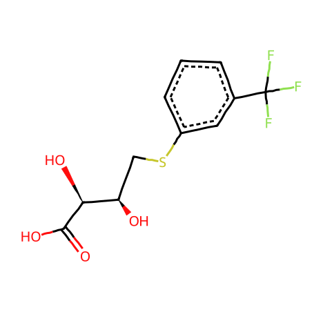 O=C(O)[C@@H](O)[C@H](O)CSc1cccc(C(F)(F)F)c1